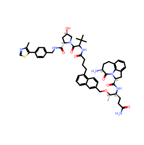 Cc1ncsc1-c1ccc(CNC(=O)[C@@H]2C[C@@H](O)CN2C(=O)C(NC(=O)CCCc2cccc3cc(CO[C@@H](C)[C@H](CCC(N)=O)NC(=O)[C@@H]4Cc5cccc6c5N4C(=O)[C@@H](N)CC6)ccc23)C(C)(C)C)cc1